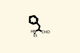 CCNC([C]=O)Cc1ccccc1